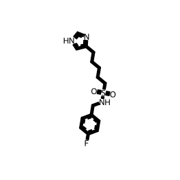 O=S(=O)(CCCCCc1c[nH]cn1)NCc1ccc(F)cc1